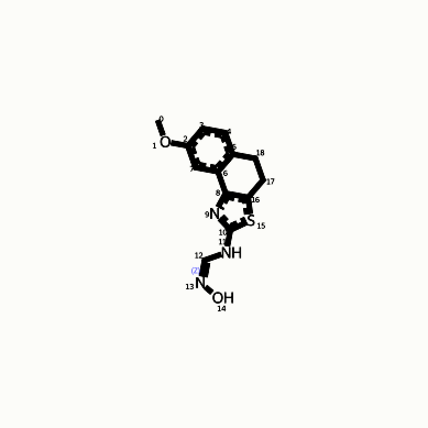 COc1ccc2c(c1)-c1nc(N/C=N\O)sc1CC2